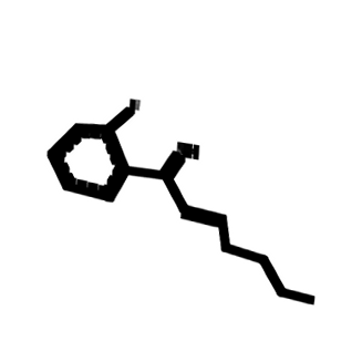 CCCC/C=C/C(=N)c1ccccc1F